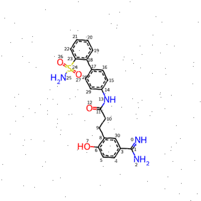 N=C(N)c1ccc(O)c(CCC(=O)Nc2ccc(-c3ccccc3S(N)(=O)=O)cc2)c1